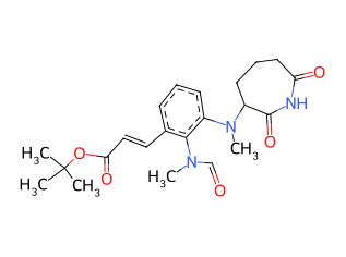 CN(C=O)c1c(/C=C/C(=O)OC(C)(C)C)cccc1N(C)C1CCCC(=O)NC1=O